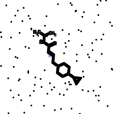 CC(C)NC(=O)/C=C/CN1CCN(C2CC2)CC1